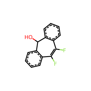 OC1c2ccccc2C(F)=C(F)c2ccccc21